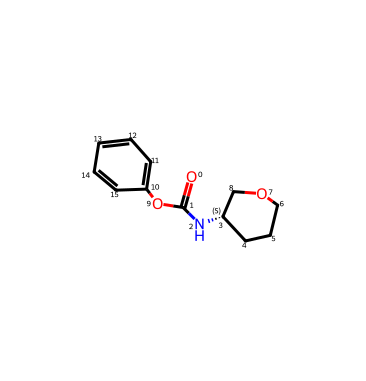 O=C(N[C@H]1CCCOC1)Oc1ccccc1